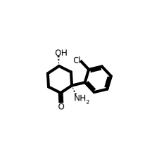 N[C@@]1(c2ccccc2Cl)C[C@@H](O)CCC1=O